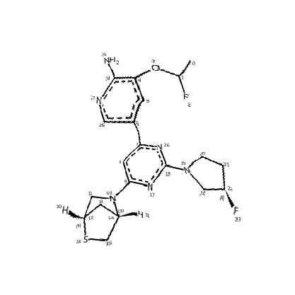 CC(F)Oc1cc(-c2cc(N3C[C@@H]4C[C@H]3CS4)nc(N3CC[C@@H](F)C3)n2)cnc1N